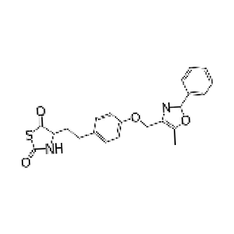 Cc1oc(-c2ccccc2)nc1COc1ccc(CCC2NC(=O)SC2=O)cc1